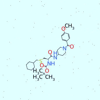 COc1ccc(C(=O)N2CCC(NC(=O)[C@H](CSCC3CCCCC3)NC(=O)OC(C)(C)C)CC2)cc1